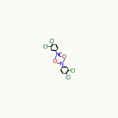 Clc1ccc(N2COCN(c3ccc(Cl)c(Cl)c3)COC2)cc1Cl